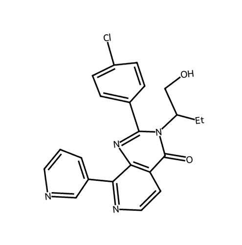 CCC(CO)n1c(-c2ccc(Cl)cc2)nc2c(-c3cccnc3)nccc2c1=O